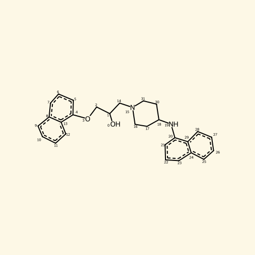 OC(COc1cccc2ccccc12)CN1CCC(Nc2cccc3ccccc23)CC1